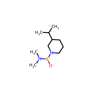 CC(C)C1CCCN([S+]([O-])N(C)C)C1